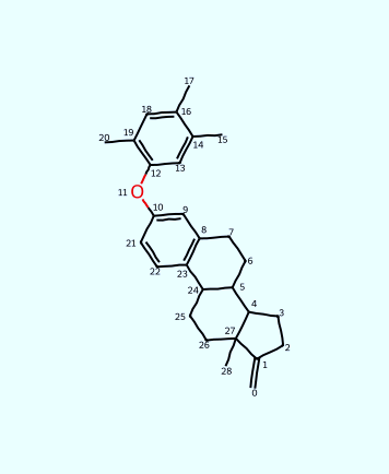 C=C1CCC2C3CCc4cc(Oc5cc(C)c(C)cc5C)ccc4C3CCC12C